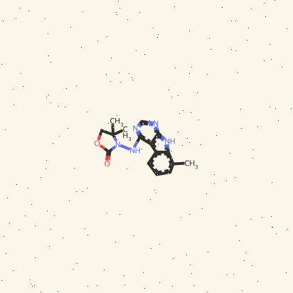 Cc1cccc2c1[nH]c1ncnc(NN3C(=O)OCC3(C)C)c12